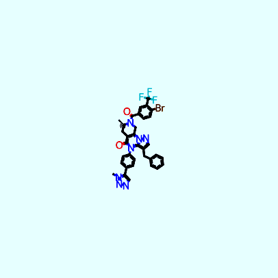 C[C@@H]1Cc2c(n3ncc(Cc4ccccc4)c3n(-c3ccc(-c4cnnn4C)cc3)c2=O)CN1C(=O)c1ccc(Br)c(C(F)(F)F)c1